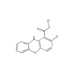 O=C(CCl)c1c(Cl)ccc2c1Nc1ccccc1S2